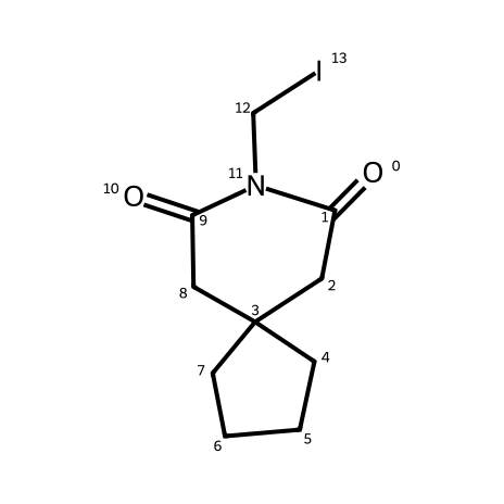 O=C1CC2(CCCC2)CC(=O)N1CI